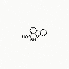 OB(O)C1=CC=CC2C3=C(C=CCC3)OC12